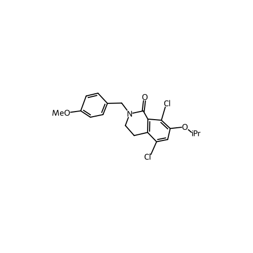 COc1ccc(CN2CCc3c(Cl)cc(OC(C)C)c(Cl)c3C2=O)cc1